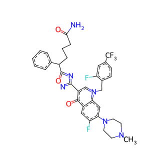 CN1CCN(c2cc3c(cc2F)c(=O)c(-c2noc(C(CCCC(N)=O)c4ccccc4)n2)cn3Cc2ccc(C(F)(F)F)cc2F)CC1